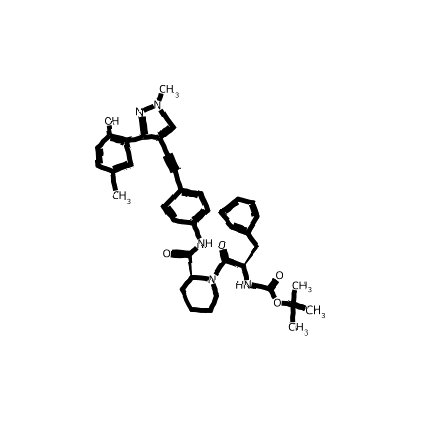 Cc1ccc(O)c(-c2nn(C)cc2C#Cc2ccc(NC(=O)[C@@H]3CCCCN3C(=O)[C@@H](Cc3ccccc3)NC(=O)OC(C)(C)C)cc2)c1